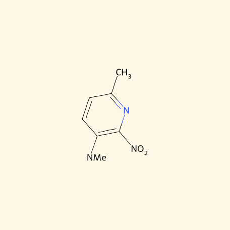 CNc1ccc(C)nc1[N+](=O)[O-]